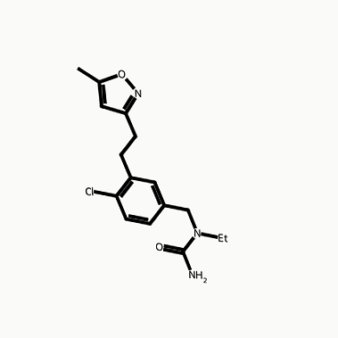 CCN(Cc1ccc(Cl)c(CCc2cc(C)on2)c1)C(N)=O